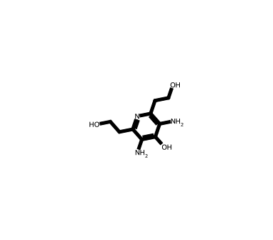 Nc1c(CCO)nc(CCO)c(N)c1O